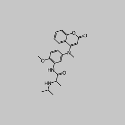 COc1ccc(N(C)c2cc(=O)oc3ccccc23)cc1NC(=O)C(C)NC(C)C